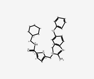 NC1=Nc2ccc(Oc3ccccc3)cc2CN1Cc1ccc(C(=O)NCC2CCCCC2)o1